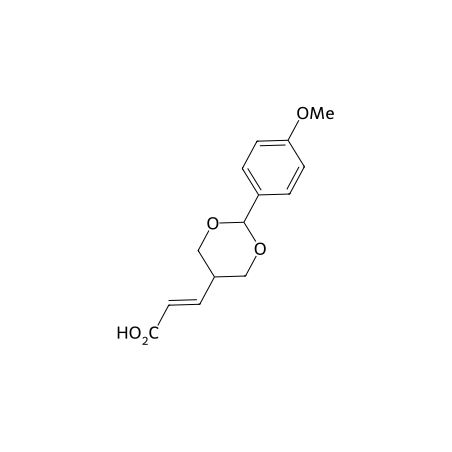 COc1ccc(C2OCC(C=CC(=O)O)CO2)cc1